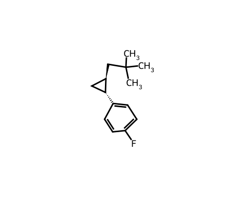 CC(C)(C)C[C@@H]1C[C@H]1c1ccc(F)cc1